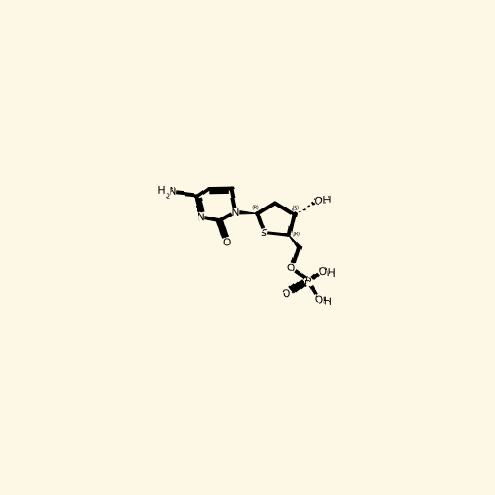 Nc1ccn([C@H]2C[C@H](O)[C@@H](COP(=O)(O)O)S2)c(=O)n1